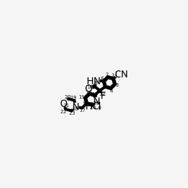 Cl.N#Cc1ccc2c(c1)NC(=O)C2(F)c1ccc(CN2CCOCC2)cn1